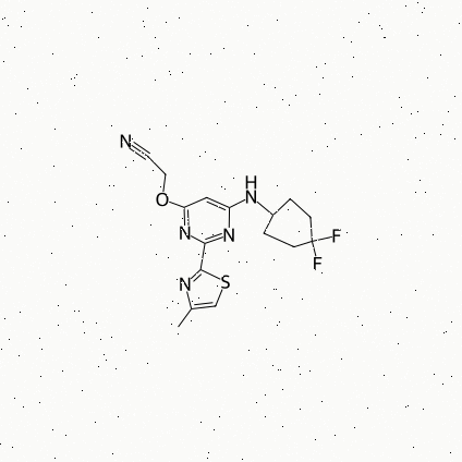 Cc1csc(-c2nc(NC3CCC(F)(F)CC3)cc(OCC#N)n2)n1